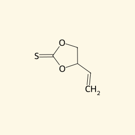 C=CC1COC(=S)O1